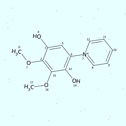 COc1c(O)cc(-[n+]2ccccc2)c(O)c1OC